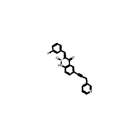 O=C1/C(=C/c2cccc(F)c2)[S+]([O-])Nc2ccc(C#CCc3cccnc3)cc21